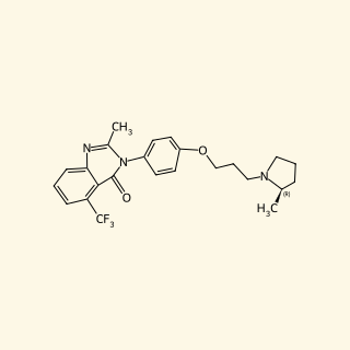 Cc1nc2cccc(C(F)(F)F)c2c(=O)n1-c1ccc(OCCCN2CCC[C@H]2C)cc1